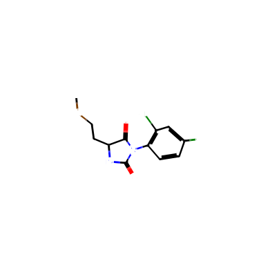 CSCCC1NC(=O)N(c2ccc(Cl)cc2Cl)C1=O